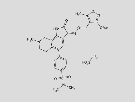 COc1noc(C)c1CON=C1C(=O)Nc2c1cc(-c1ccc(S(=O)(=O)N(C)C)cc1)c1c2CN(C)CC1.CS(=O)(=O)O